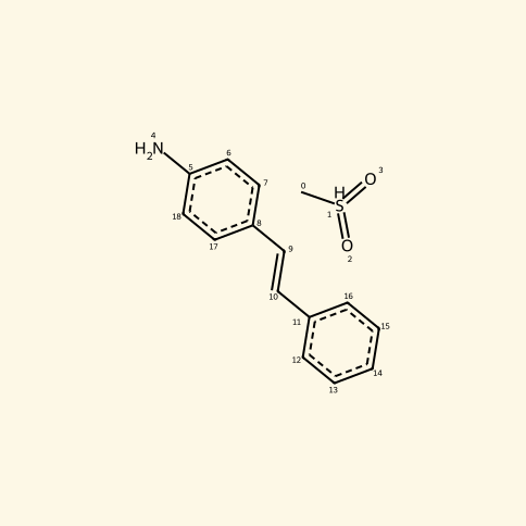 C[SH](=O)=O.Nc1ccc(C=Cc2ccccc2)cc1